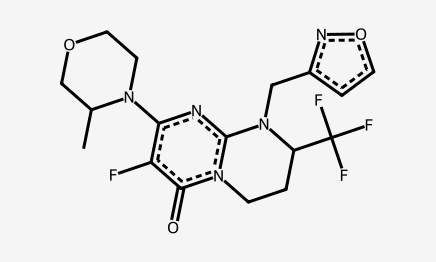 CC1COCCN1c1nc2n(c(=O)c1F)CCC(C(F)(F)F)N2Cc1ccon1